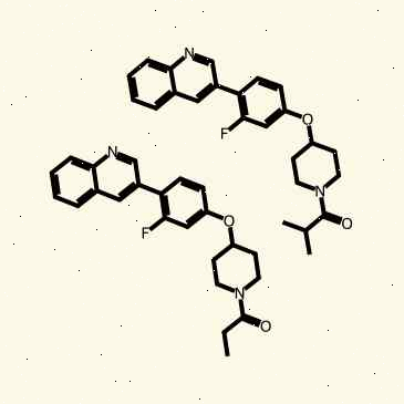 CC(C)C(=O)N1CCC(Oc2ccc(-c3cnc4ccccc4c3)c(F)c2)CC1.CCC(=O)N1CCC(Oc2ccc(-c3cnc4ccccc4c3)c(F)c2)CC1